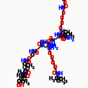 CC(C)[C@H](NC(=O)[C@@H](CCCCNC(=O)COC1CCC(N(CCCCC(=O)Nc2ccc(COC(=O)Nc3ccc4c(c3)[C@@]3(C)CCC[C@](C)(C(=O)NC(=O)[C@@]5(C)CCC[C@]6(C)c7cc(O)ccc7CC[C@@H]56)C3CC4)cc2)C(N)=O)CC/C(NCCOCCOCCOCCOCCC(=O)NCC[N+](C)(C)C)=C\1NN)NC(=O)CCOCCOCCOCCOCCNC(=O)COC1C#CCCCCC1)C(N)=O